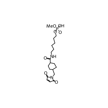 COP(=O)(O)OCCCCCCNC(=O)C1CCC(CN2C(=O)C=CC2=O)CC1